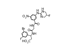 O=C(O)CC(NC(=O)CNC(=O)c1cc(NC2=NCC(F)CN2)cc([N+](=O)[O-])c1)c1cc(Br)cc(I)c1